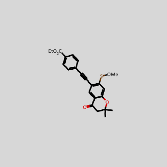 CCOC(=O)c1ccc(C#Cc2cc3c(cc2SOC)OC(C)(C)CC3=O)cc1